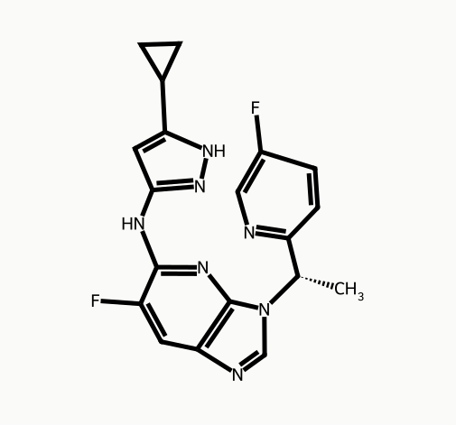 C[C@@H](c1ccc(F)cn1)n1cnc2cc(F)c(Nc3cc(C4CC4)[nH]n3)nc21